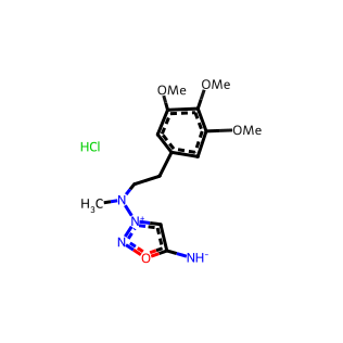 COc1cc(CCN(C)[n+]2cc([NH-])on2)cc(OC)c1OC.Cl